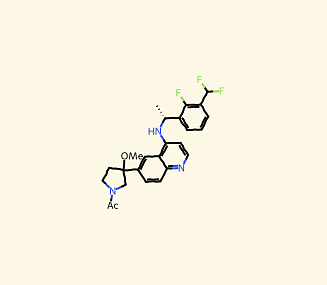 COC1(c2ccc3nccc(N[C@H](C)c4cccc(C(F)F)c4F)c3c2)CCN(C(C)=O)C1